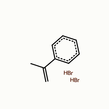 Br.Br.C=C(C)c1ccccc1